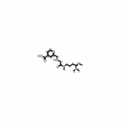 C/N=C(/CCCN(C)C(=O)CNCc1cc(C(=O)O)ccn1)N(C)C